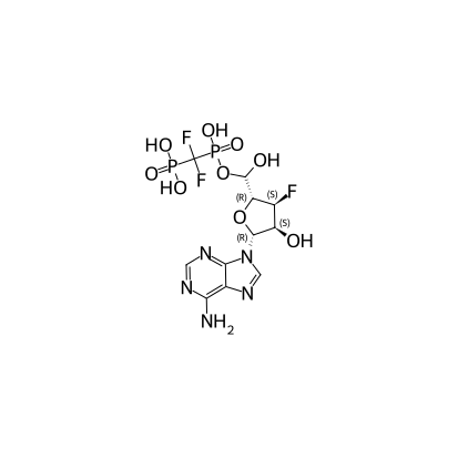 Nc1ncnc2c1ncn2[C@@H]1O[C@H](C(O)OP(=O)(O)C(F)(F)P(=O)(O)O)[C@@H](F)[C@H]1O